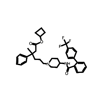 CC(CCCN1CCC(NC(=O)c2ccccc2-c2ccc(C(F)(F)F)cc2)CC1)(CC(=O)OC1CCC1)c1ccccc1